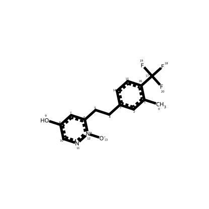 Cc1cc(CCc2cc(O)cn[n+]2[O-])ccc1C(F)(F)F